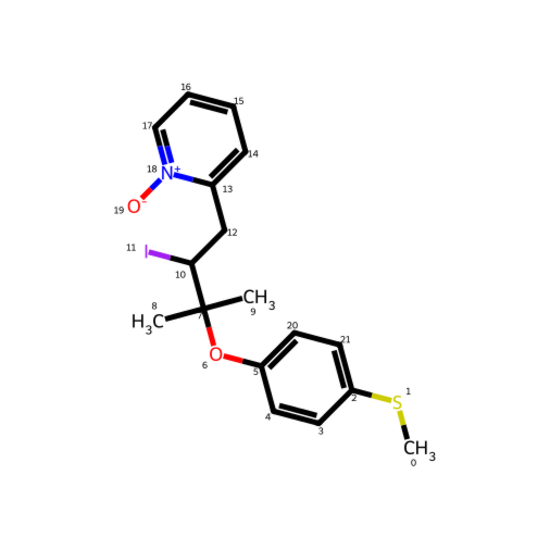 CSc1ccc(OC(C)(C)C(I)Cc2cccc[n+]2[O-])cc1